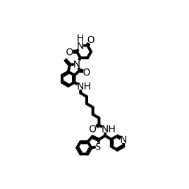 C=C1c2cccc(NCCCCCCC(=O)NC(c3cccnc3)c3cc4ccccc4s3)c2C(=O)N1C1CCC(=O)NC1=O